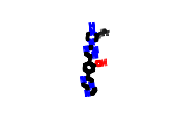 CC(C)[C@H]1CN(c2ncc(-c3ccc(-c4cn5ccnc5cn4)cc3O)nn2)CCN1